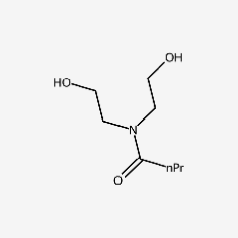 [CH2]CCC(=O)N(CCO)CCO